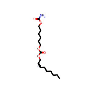 CCCCCC/C=C\COC(=O)OCCCCCCOC(N)=O